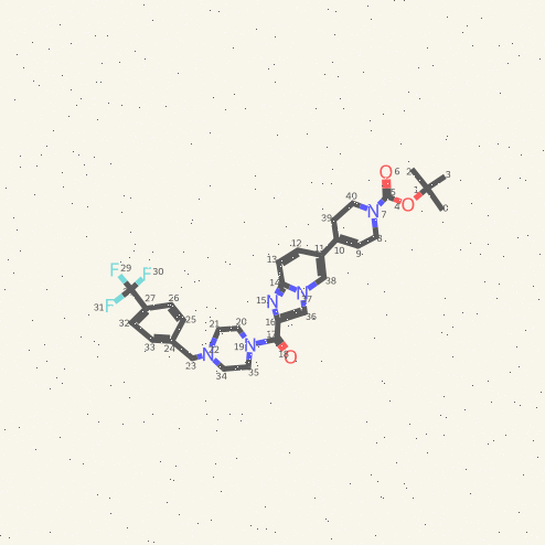 CC(C)(C)OC(=O)N1CC=C(c2ccc3nc(C(=O)N4CCN(Cc5ccc(C(F)(F)F)cc5)CC4)cn3c2)CC1